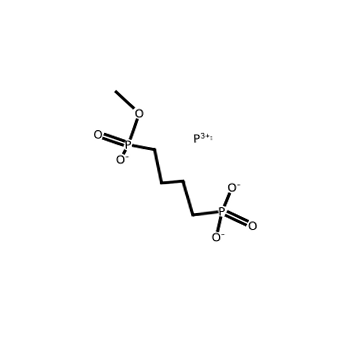 COP(=O)([O-])CCCCP(=O)([O-])[O-].[P+3]